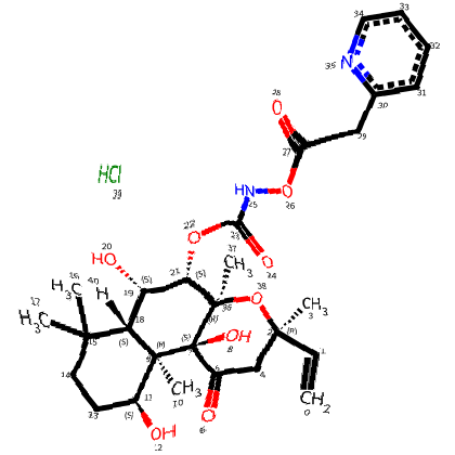 C=C[C@@]1(C)CC(=O)[C@]2(O)[C@@]3(C)[C@@H](O)CCC(C)(C)[C@@H]3[C@H](O)[C@H](OC(=O)NOC(=O)Cc3ccccn3)[C@@]2(C)O1.Cl